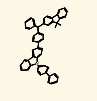 CC1(C)c2ccccc2-c2ccc(C(c3ccccc3)c3ccc(-c4ccc5c(c4)c4ccccc4n5-c4ccc(-c5ccccc5)cc4)cc3)cc21